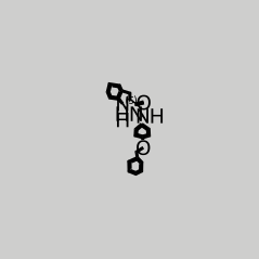 O=C(NNc1ccc(OCc2ccccc2)cc1)[C@@H]1Cc2ccccc2N1